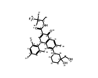 CC(NC(=O)c1cn(-c2c(F)cc(F)cc2F)c2nc(N3CCCC(O)(CO)C3)c(F)cc2c1=O)C(F)(F)C(F)(F)F